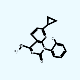 CNc1nc(=O)n(-c2ccccc2Cl)c2nc(C3CC3)ccc12